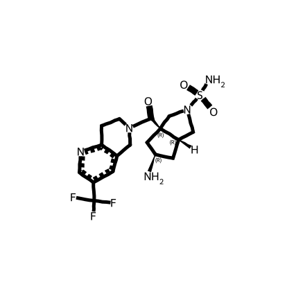 N[C@@H]1C[C@H]2CN(S(N)(=O)=O)C[C@@]2(C(=O)N2CCc3ncc(C(F)(F)F)cc3C2)C1